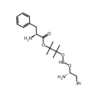 CC(C)C[C@H](N)OBOC(C)(C)C(C)(C)OC(=O)[C@@H](N)Cc1ccccc1